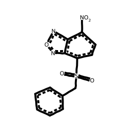 O=[N+]([O-])c1ccc(S(=O)(=O)Cc2ccccc2)c2nonc12